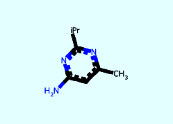 Cc1cc(N)nc(C(C)C)n1